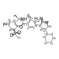 C[C@@H](NC(=O)c1ccc(-c2cc(C3CCCCC3)cnc2N)cc1F)c1cc(F)cc(S(C)(=O)=O)c1